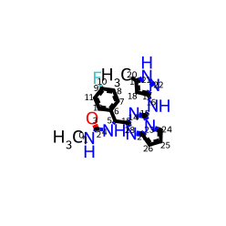 CNC(=O)NC(c1ccc(F)cc1)c1nc(Nc2cc(C)[nH]n2)n2cccc2n1